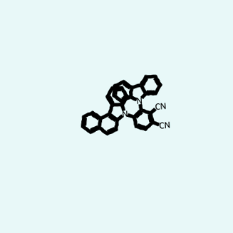 N#Cc1ccc(-n2c3ccccc3c3c4ccccc4ccc32)c(-n2c3ccccc3c3ccccc32)c1C#N